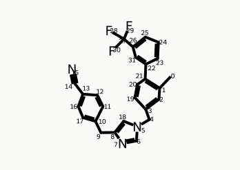 Cc1cc(Cn2cnc(Cc3ccc(C#N)cc3)c2)ccc1-c1cccc(C(F)(F)F)c1